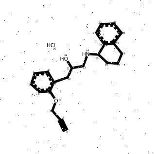 C#CCOc1ccccc1CC(O)CNC1CCCc2ccccc21.Cl